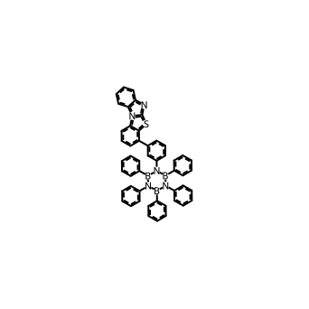 c1ccc(B2N(c3ccccc3)B(c3ccccc3)N(c3cccc(-c4cccc5c4sc4nc6ccccc6n45)c3)B(c3ccccc3)N2c2ccccc2)cc1